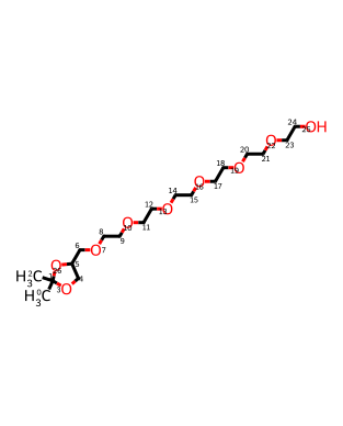 CC1(C)OCC(COCCOCCOCCOCCOCCOCCO)O1